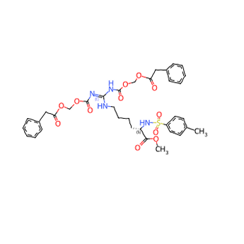 COC(=O)[C@H](CCCCN/C(=N\C(=O)OCOC(=O)Cc1ccccc1)NC(=O)OCOC(=O)Cc1ccccc1)NS(=O)(=O)c1ccc(C)cc1